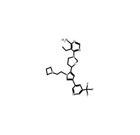 CCc1c(N)ncnc1N1CCC(c2cc(-c3cncc(C(F)(F)F)c3)cn2CCN2CCC2)CC1